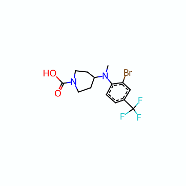 CN(c1ccc(C(F)(F)F)cc1Br)C1CCN(C(=O)O)CC1